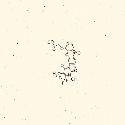 COC(=O)COc1ncccc1Oc1cc(-n2c(=O)c(C)c(C(F)(F)F)n(C)c2=O)c(F)cc1[N+](=O)[O-]